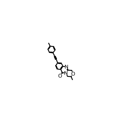 Cc1ccc(C#Cc2ccc3c(=O)n4c(nc3c2)COC(C)C4)cc1